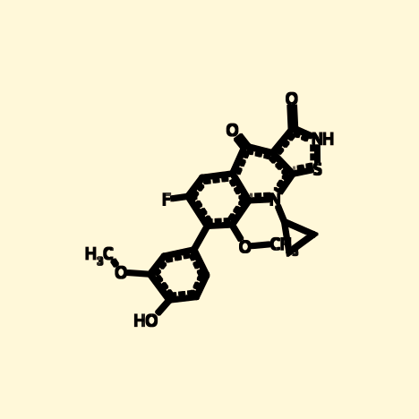 COc1cc(-c2c(F)cc3c(=O)c4c(=O)[nH]sc4n(C4CC4)c3c2OC)ccc1O